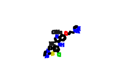 COc1c(OCCCn2ccnn2)ccc2c(Nc3ccc(Sc4nccn4C)c(Cl)c3)c(C#N)cnc12